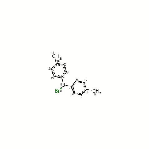 Cc1ccc(B(Br)c2ccc(C)cc2)cc1